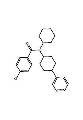 O=C(c1ccc(Cl)cc1)N(C1CCCCC1)C1CCC(c2ccccc2)CC1